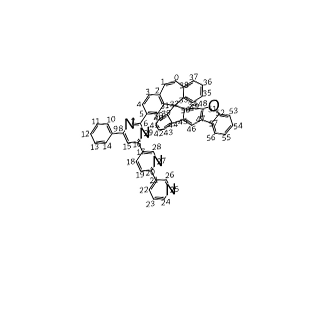 C1=Cc2ccc(-c3nc(-c4ccccc4)cc(-c4ccc(-c5cccnc5)nc4)n3)cc2C2(c3ccccc31)c1ccccc1-c1cc3c(cc12)oc1ccccc13